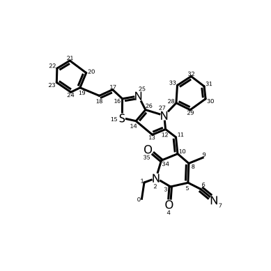 CCN1C(=O)C(C#N)=C(C)/C(=C/c2cc3sc(/C=C/c4ccccc4)nc3n2-c2ccccc2)C1=O